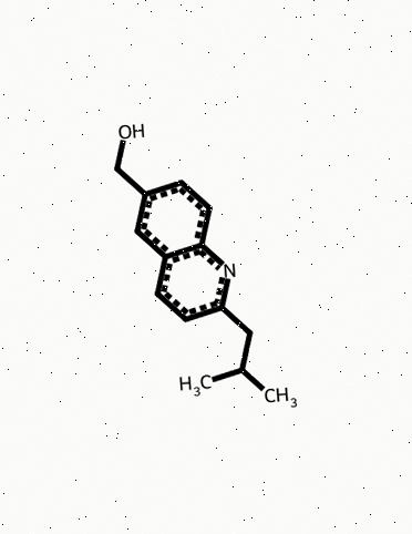 CC(C)Cc1ccc2cc(CO)ccc2n1